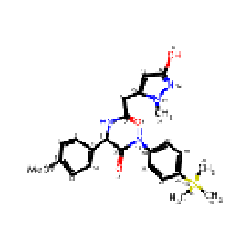 COc1ccc(C(NC(=O)Cc2cc(O)nn2C)C(=O)Nc2ccc(S(C)(C)C)cc2)cc1